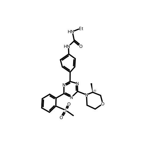 CCNC(=O)Nc1ccc(-c2nc(-c3ccccc3S(C)(=O)=O)nc(N3CCOC[C@@H]3C)n2)cc1